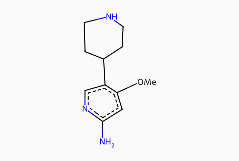 COc1cc(N)ncc1C1CCNCC1